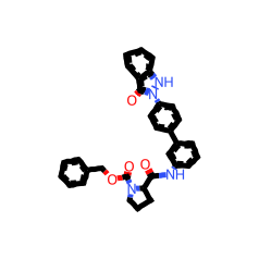 O=C(Nc1cccc(-c2ccc(-n3[nH]c4ccccc4c3=O)cc2)c1)C1CCCN1C(=O)OCc1ccccc1